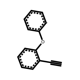 C#Cc1ccccc1Oc1[c]cccc1